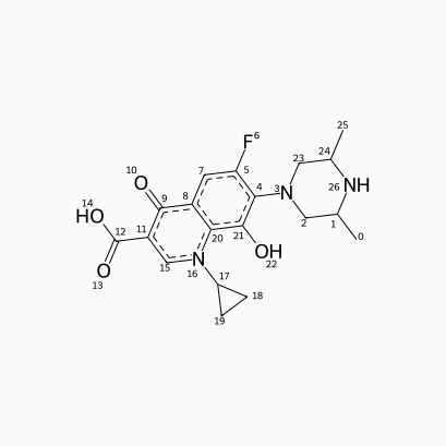 CC1CN(c2c(F)cc3c(=O)c(C(=O)O)cn(C4CC4)c3c2O)CC(C)N1